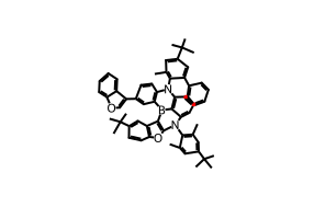 Cc1cc(C(C)(C)C)cc(C)c1N1c2cccc3c2B(c2cc(-c4coc5ccccc45)ccc2N3c2c(C)cc(C(C)(C)C)cc2-c2ccccc2)c2c1oc1ccc(C(C)(C)C)cc21